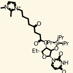 CC[C@H]1O[C@@H](n2ccc(=O)[nH]c2=O)C(O[Si](C(C)C)(C(C)C)C(C)C)[C@H]1OC(=O)CCC(=O)CCCC[n+]1ccn(C)c1C